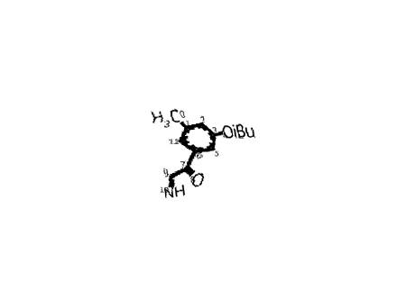 Cc1cc(OCC(C)C)cc(C(=O)C=N)c1